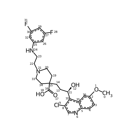 COc1ccc2ncc(Cl)c([C@H](O)CCC3(C(=O)O)CCN(CCNc4cc(F)cc(F)c4)CC3)c2c1